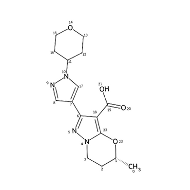 C[C@@H]1CCn2nc(-c3cnn(C4CCOCC4)c3)c(C(=O)O)c2O1